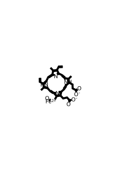 C=CC1=C(C)c2cc3[nH]c(cc4nc(cc5[nH]c(cc1n2)c(C)c5CCC(=O)[O-])C(CCC(=O)[O-])=C4C)c(C)c3C=C.C=O.[Fe+2]